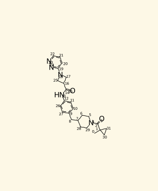 CC1(C(=O)N2CCC(Cc3ccc(NC(=O)C4CN(c5cccnn5)C4)cc3)CC2)CC1